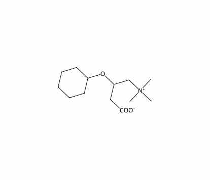 C[N+](C)(C)CC(CC(=O)[O-])OC1CCCCC1